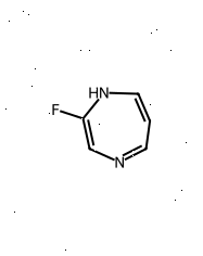 FC1=CN=CC=CN1